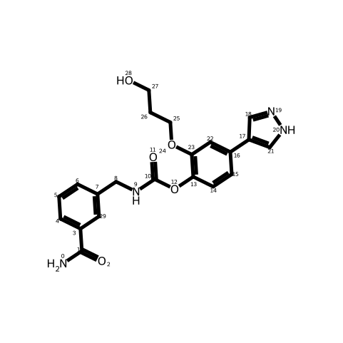 NC(=O)c1cccc(CNC(=O)Oc2ccc(-c3cn[nH]c3)cc2OCCCO)c1